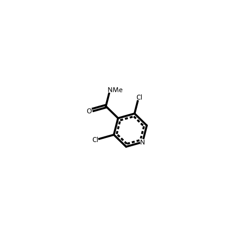 CNC(=O)c1c(Cl)cncc1Cl